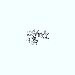 CC1=NO[C@@]2(CC[C@H](C)N3C[C@H]2n2cc(C(=O)NCc4ccc(F)c(C)c4F)c(=O)c(O)c2C3=O)[C@H]1O